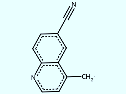 [CH2]c1ccnc2ccc(C#N)cc12